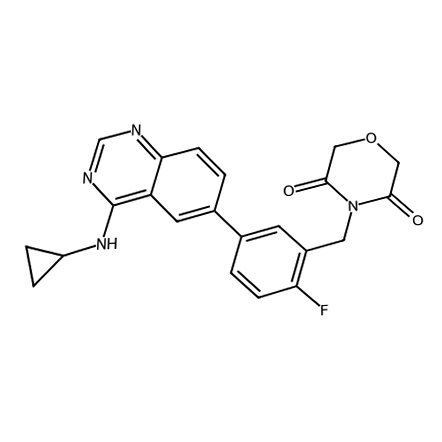 O=C1COCC(=O)N1Cc1cc(-c2ccc3ncnc(NC4CC4)c3c2)ccc1F